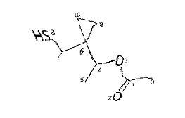 CC(=O)OC(C)C1(CS)CC1